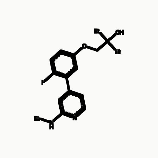 CCNc1cc(-c2cc(OCC(O)(CC)CC)ccc2F)ccn1